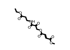 CCOC(=O)CCNC(=O)C(=O)COC(=O)/C=C/C(=O)OC